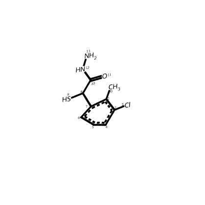 Cc1c(Cl)cccc1C(S)C(=O)NN